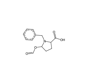 O=COC1CCC(C(=O)O)N1Cc1ccccc1